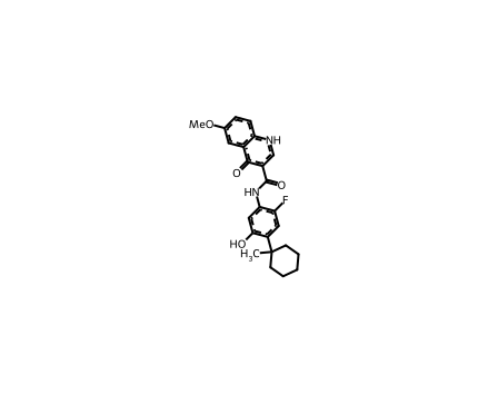 COc1ccc2[nH]cc(C(=O)Nc3cc(O)c(C4(C)CCCCC4)cc3F)c(=O)c2c1